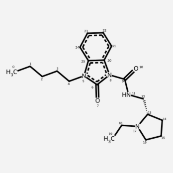 CCCCCn1c(=O)n(C(=O)NC[C@@H]2CCCN2CC)c2ccccc21